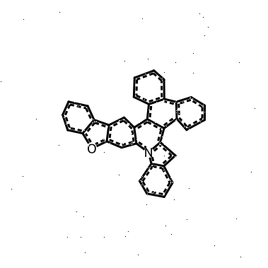 c1ccc2c(c1)cc1c3c4ccccc4c4ccccc4c3c3cc4c(cc3n21)oc1ccccc14